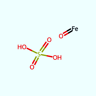 O=S(=O)(O)O.[O]=[Fe]